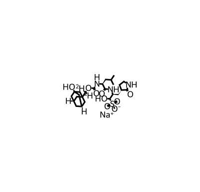 [2H]C([2H])(OC(=O)N[C@@H](CC(C)C)C(=O)N[C@@H](C[C@@H]1CCNC1=O)C(O)S(=O)(=O)[O-])C12C[C@@H]3C[C@@H](CC(O)(C3)C1)C2.[Na+]